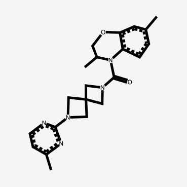 Cc1ccc2c(c1)OCC(C)N2C(=O)N1CC2(C1)CN(c1nccc(C)n1)C2